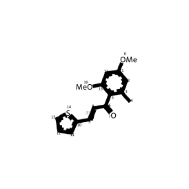 COc1cc(C)c(C(=O)/C=C/c2cccs2)c(OC)c1